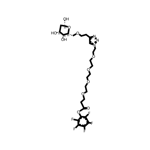 O=C(CCOCCOCCOCCOCCn1cc(CCOC[C@H]2O[C@@H](O)C[C@@H](O)[C@H]2O)nn1)Oc1c(F)c(F)c(F)c(F)c1F